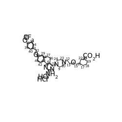 Cl.Cl.Nc1nc2c(c(N3CCN(CCOC[C@@H]4CCC[C@H](C(=O)O)C4)CC3)n1)CCc1cc(OCc3ccc(OC(F)(F)F)cc3)ccc1-2